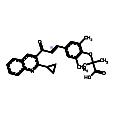 Cc1cc(/C=C/C(=O)c2cc3ccccc3nc2C2CC2)cc(C)c1OC(C)(C)C(=O)O